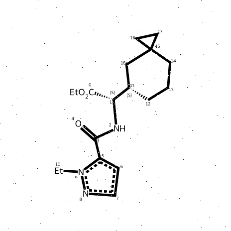 CCOC(=O)[C@@H](NC(=O)c1ccnn1CC)[C@H]1CCCC2(CC2)C1